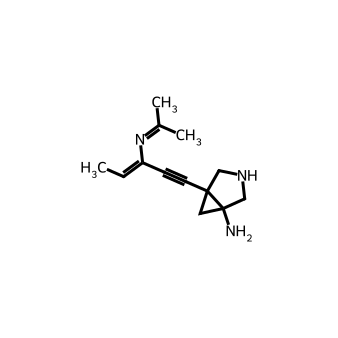 C/C=C(/C#CC12CNCC1(N)C2)N=C(C)C